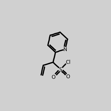 C=CC(c1ccccn1)S(=O)(=O)Cl